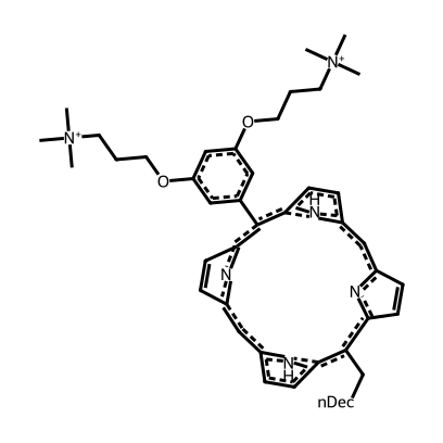 CCCCCCCCCCCc1c2nc(cc3ccc([nH]3)c(-c3cc(OCCC[N+](C)(C)C)cc(OCCC[N+](C)(C)C)c3)c3nc(cc4ccc1[nH]4)C=C3)C=C2